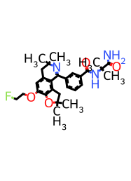 CC1(C)Cc2cc(OCCF)c3c(c2C(c2cccc(C(=O)NC(C)(C)C(N)=O)c2)=N1)CC(C)(C)O3